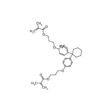 C=C(C)C(=O)OCCCOc1ccc(C2(C(/C=C\C(C)OCCCOC(=O)C(=C)C)=C/C)CCCCC2)cc1